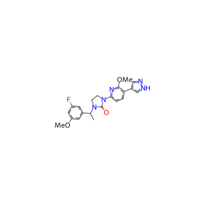 COc1cc(F)cc(C(C)N2CCN(c3ccc(-c4cn[nH]c4)c(OC)n3)C2=O)c1